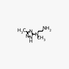 Cc1n[nH]c(N(C)CCN)n1